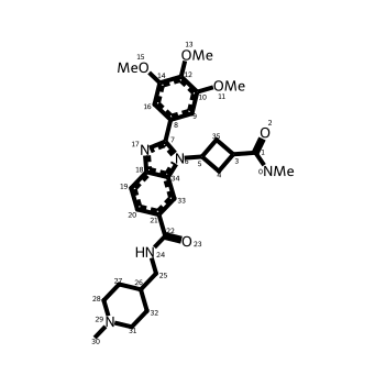 CNC(=O)C1CC(n2c(-c3cc(OC)c(OC)c(OC)c3)nc3ccc(C(=O)NCC4CCN(C)CC4)cc32)C1